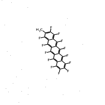 Cc1c(F)c(F)c2c(F)c3c(F)c4c(F)c5c(F)c(F)c(F)c(F)c5c(F)c4c(F)c3c(F)c2c1F